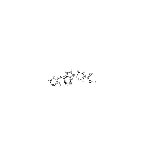 COC(=O)N1CCC(n2ccc3c(Oc4cccnc4C)ncnc32)CC1